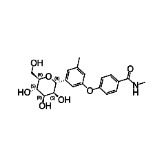 CNC(=O)c1ccc(Oc2cc(C)cc([C@H]3O[C@H](CO)[C@@H](O)[C@H](O)[C@@H]3O)c2)cc1